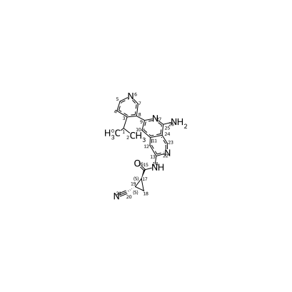 CC(C)c1ccncc1-c1cc2cc(NC(=O)[C@H]3C[C@@H]3C#N)ncc2c(N)n1